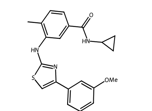 COc1cccc(-c2csc(Nc3cc(C(=O)NC4CC4)ccc3C)n2)c1